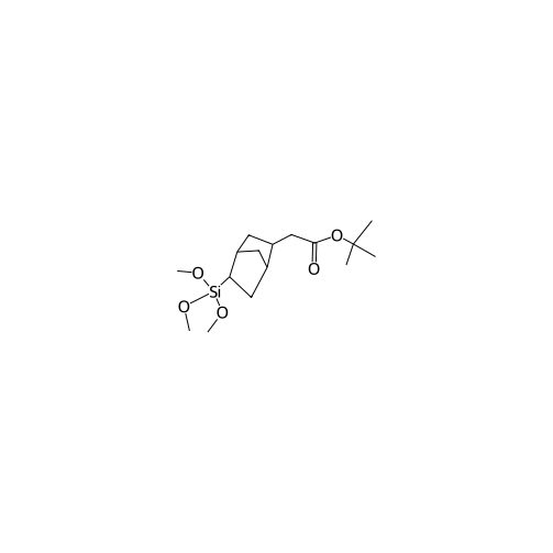 CO[Si](OC)(OC)C1CC2CC1CC2CC(=O)OC(C)(C)C